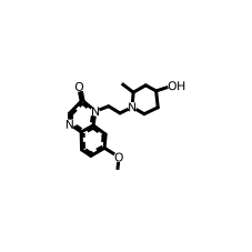 COc1ccc2ncc(=O)n(CCN3CCC(O)CC3C)c2c1